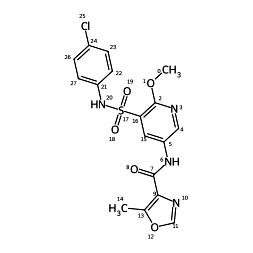 COc1ncc(NC(=O)c2ncoc2C)cc1S(=O)(=O)Nc1ccc(Cl)cc1